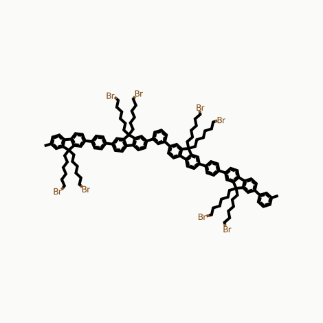 Cc1cccc(-c2ccc3c(c2)C(CCCCCCBr)(CCCCCCBr)c2cc(-c4ccc(-c5ccc6c(c5)C(CCCCCCBr)(CCCCCCBr)c5cc(-c7cccc(-c8ccc9c(c8)C(CCCCCCBr)(CCCCCCBr)c8cc(-c%10ccc(-c%11ccc%12c(c%11)C(CCCCCCBr)(CCCCCCBr)c%11cc(C)ccc%11-%12)cc%10)ccc8-9)c7)ccc5-6)cc4)ccc2-3)c1